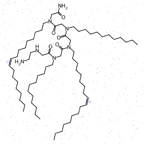 CCCCCCCC/C=C\CCCCCCCCN(CC(N)=O)C(=O)CN(CCCCCCCCCCCC)C(=O)CN(CCCCCCCC/C=C\CCCCCCCC)C(=O)CN(CCCCCCCCCCCC)C(=O)CNCCN